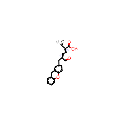 C=C/C(=C\C=C(/C=O)Cc1ccc2c(c1)Cc1ccccc1O2)C(=O)O